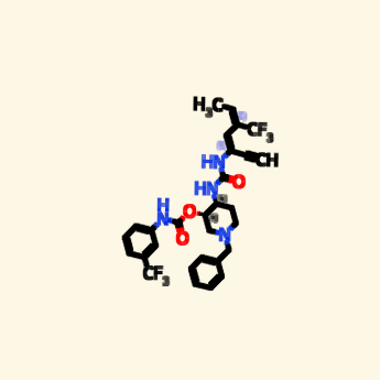 C#C/C(=C\C(=C/C)C(F)(F)F)NC(=O)N[C@H]1CCN(Cc2ccccc2)C[C@@H]1OC(=O)Nc1cccc(C(F)(F)F)c1